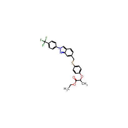 CCOC(=O)C(C)Oc1ccc(SCc2ccc3cn(-c4ccc(C(F)(F)F)cc4)nc3c2)cc1